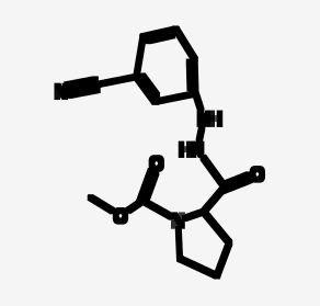 COC(=O)N1CCCC1C(=O)NNc1cccc(C#N)c1